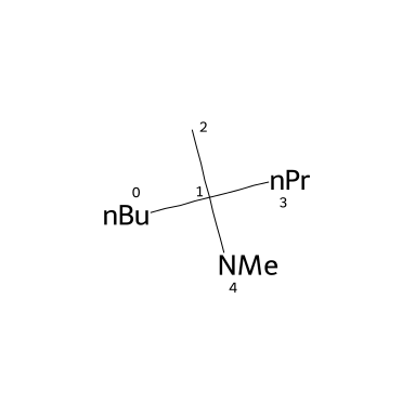 CCCCC(C)(CCC)NC